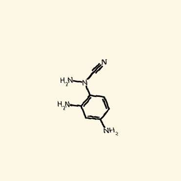 N#CN(N)c1ccc(N)cc1N